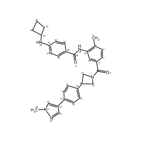 Cc1ccc(C(=O)N2CC(c3ccc(-c4cnn(C)c4)cc3)C2)cc1NC(=O)c1ccc(NC2CCC2)nc1